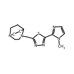 Cn1ccnc1-c1nnc(N2CCN3CCC2CC3)s1